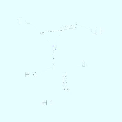 C/C=C(/CC)C(C)N1/C(=C\C)C1C